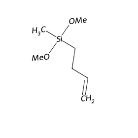 C=CCC[Si](C)(OC)OC